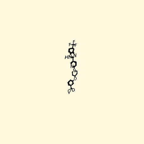 COC(=O)c1cccc(OC2CCN(c3ccc(-c4nc5cc(C(F)(F)F)ccc5[nH]4)cn3)CC2)c1